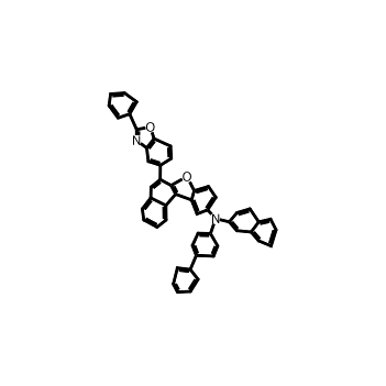 c1ccc(-c2ccc(N(c3ccc4ccccc4c3)c3ccc4oc5c(-c6ccc7oc(-c8ccccc8)nc7c6)cc6ccccc6c5c4c3)cc2)cc1